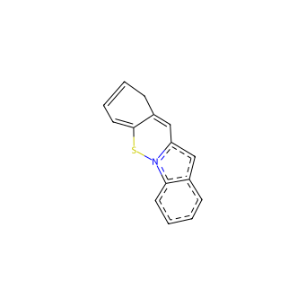 C1=CCC2=Cc3cc4ccccc4n3SC2=C1